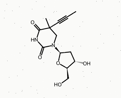 CC#CC1(C)CN([C@H]2C[C@H](O)[C@@H](CO)O2)C(=O)NC1=O